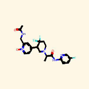 CC(=O)NCc1cc(C2CN(C(C)C(=O)Nc3ccc(F)cn3)CCC2(F)F)cc[n+]1[O-]